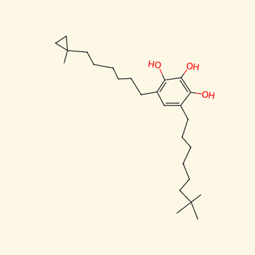 CC(C)(C)CCCCCCc1cc(CCCCCCC2(C)CC2)c(O)c(O)c1O